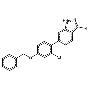 CCc1cc(OCc2ccccc2)ccc1-c1ccc2c(I)n[nH]c2c1